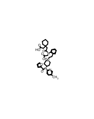 Cc1ccc(N(C(=O)c2ccco2)C2CCN(CCc3ccccc3N(CC(=O)O)C(=O)CC3(CC(=O)O)CCCCC3)CC2)nc1